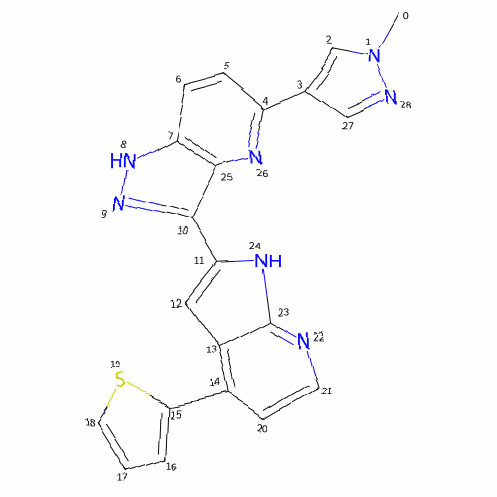 Cn1cc(-c2ccc3[nH]nc(-c4cc5c(-c6cccs6)ccnc5[nH]4)c3n2)cn1